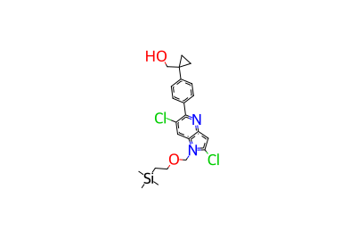 C[Si](C)(C)CCOCn1c(Cl)cc2nc(-c3ccc(C4(CO)CC4)cc3)c(Cl)cc21